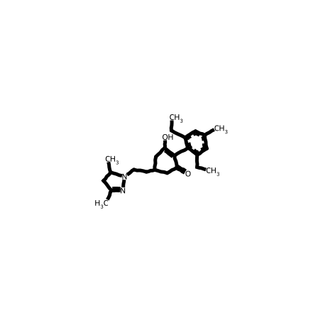 CCc1cc(C)cc(CC)c1C1=C(O)CC(CCN2N=C(C)CC2C)CC1=O